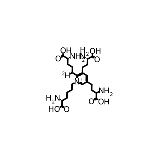 [2H]C(CC[C@H](N)C(=O)O)c1c(CC[C@H](N)C(=O)O)cc(CCC(N)C(=O)O)c[n+]1CCCC[C@H](N)C(=O)O